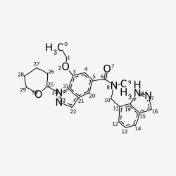 CCOc1cc(C(=O)N(C)Cc2cccc3cn[nH]c23)cc2cnn(C3CCCCO3)c12